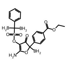 BC1(c2ccc(C(=O)OCC)cc2)OC(N)=C(OS(=O)(=O)C(B)(B)c2ccccc2)C1=O